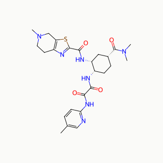 Cc1ccc(NC(=O)C(=O)N[C@H]2CC[C@@H](C(=O)N(C)C)C[C@H]2NC(=O)c2nc3c(s2)CN(C)CC3)nc1